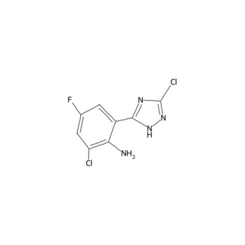 Nc1c(Cl)cc(F)cc1-c1nc(Cl)n[nH]1